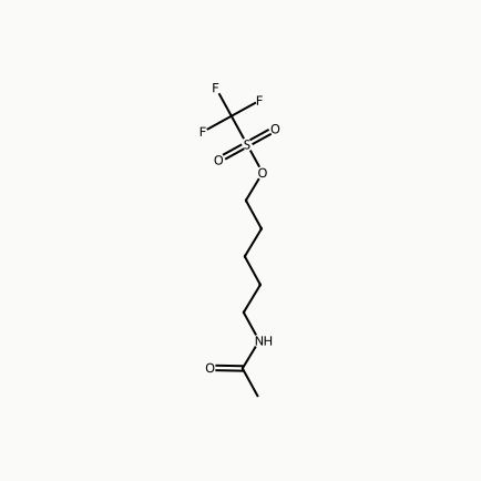 CC(=O)NCCCCCOS(=O)(=O)C(F)(F)F